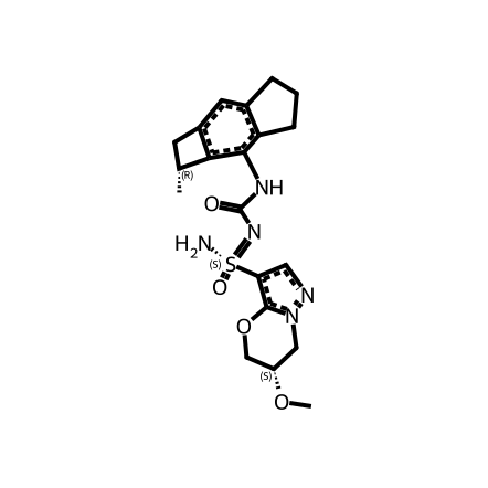 CO[C@@H]1COc2c([S@@](N)(=O)=NC(=O)Nc3c4c(cc5c3[C@H](C)C5)CCC4)cnn2C1